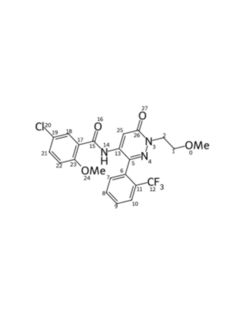 COCCn1nc(-c2ccccc2C(F)(F)F)c(NC(=O)c2cc(Cl)ccc2OC)cc1=O